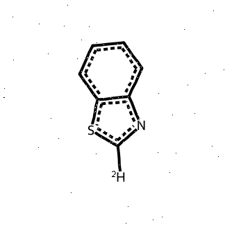 [2H]c1nc2ccccc2s1